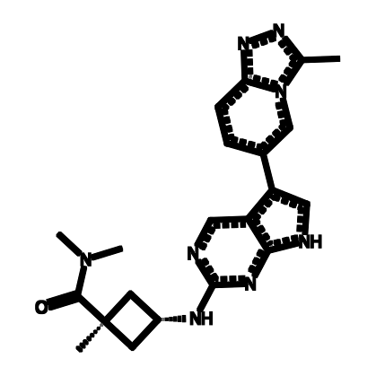 Cc1nnc2ccc(-c3c[nH]c4nc(N[C@H]5C[C@](C)(C(=O)N(C)C)C5)ncc34)cn12